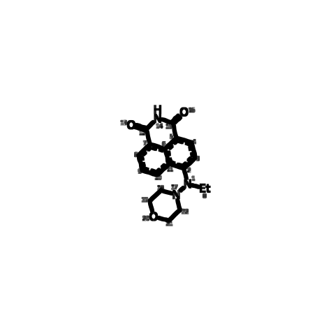 CCN(c1ccc2c3c(cccc13)C(=O)NC2=O)N1CCOCC1